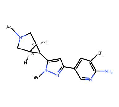 CC(=O)N1C[C@@H]2C(c3cc(-c4cnc(N)c(C(F)(F)F)c4)nn3C(C)C)[C@@H]2C1